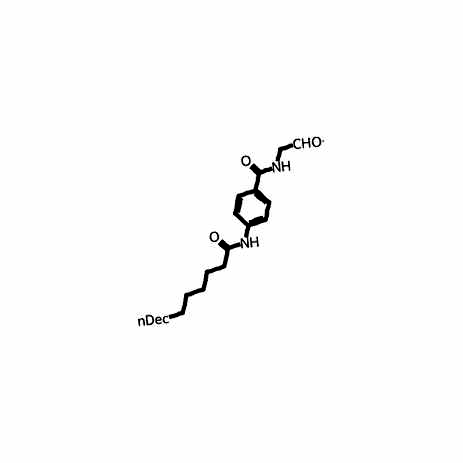 CCCCCCCCCCCCCCCC(=O)Nc1ccc(C(=O)NC[C]=O)cc1